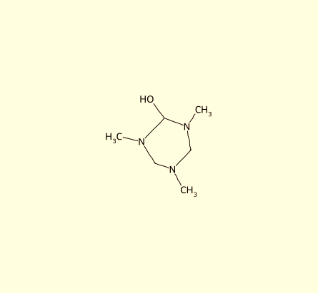 CN1CN(C)C(O)N(C)C1